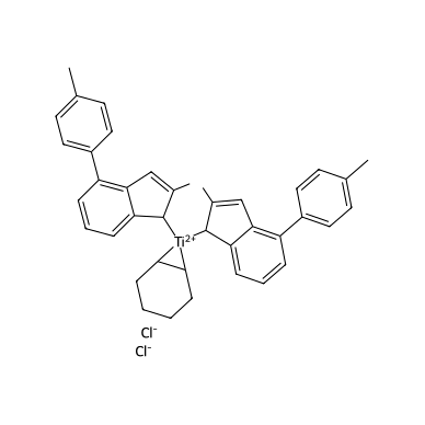 CC1=Cc2c(-c3ccc(C)cc3)cccc2[CH]1[Ti+2]1([CH]2C(C)=Cc3c(-c4ccc(C)cc4)cccc32)[CH]2CCCC[CH]21.[Cl-].[Cl-]